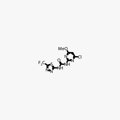 COc1cc(Cl)nc(NC(=O)Nc2nnc(C(F)(F)F)s2)n1